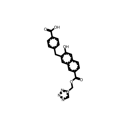 O=C(O)c1ccc(Cc2cc3cc(C(=O)OCn4cnnn4)ccc3cc2O)cc1